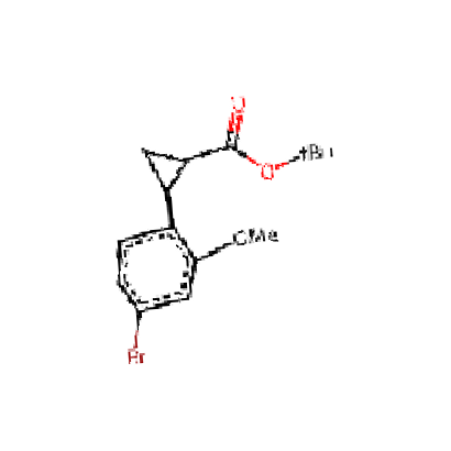 COc1cc(Br)ccc1C1CC1C(=O)OC(C)(C)C